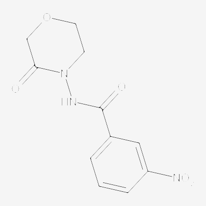 O=C(NN1CCOCC1=O)c1cccc([N+](=O)[O-])c1